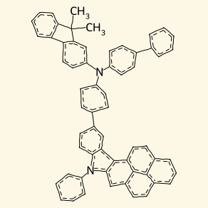 CC1(C)c2ccccc2-c2ccc(N(c3ccc(-c4ccccc4)cc3)c3ccc(-c4ccc5c(c4)c4c6ccc7cccc8ccc(cc4n5-c4ccccc4)c6c87)cc3)cc21